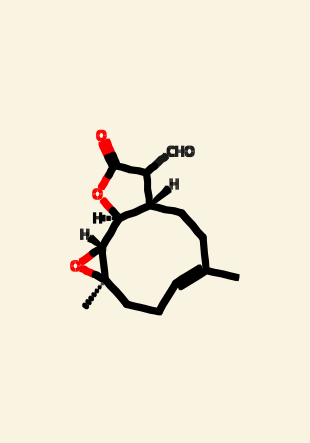 C/C1=C\CC[C@@]2(C)O[C@@H]2[C@H]2OC(=O)C(C=O)[C@@H]2CC1